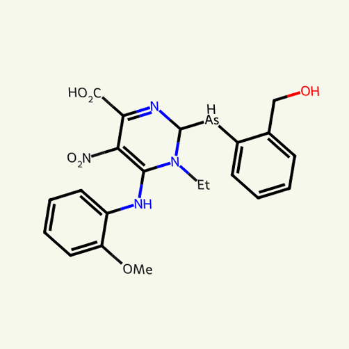 CCN1C(Nc2ccccc2OC)=C([N+](=O)[O-])C(C(=O)O)=NC1[AsH]c1ccccc1CO